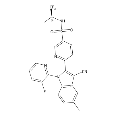 Cc1ccc2c(c1)c(C#N)c(-c1ccc(S(=O)(=O)N[C@@H](C)C(F)(F)F)cn1)n2-c1ncccc1F